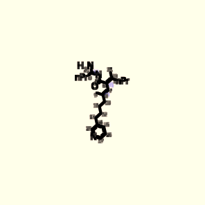 CCC/C(N)=N\C(=O)C(/C=C(\C)CCCCc1cccnc1)=C(\C)CCC